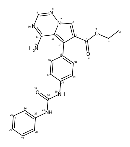 CCOC(=O)c1cn2ncnc(N)c2c1-c1ccc(NC(=O)Nc2ccccc2)cc1